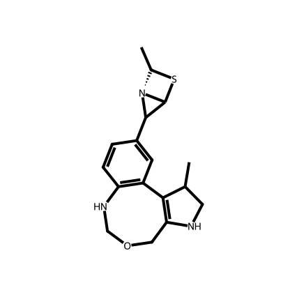 CC1CNC2=C1c1cc(C3C4SC(C)[N@]43)ccc1NCOC2